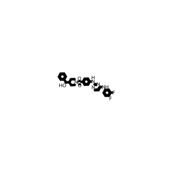 O=S(=O)(c1ccc(Nc2nccc(Nc3ccc(F)c(F)c3)n2)cc1)N1CCC(C(O)c2ccccc2)CC1